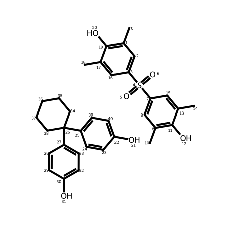 Cc1cc(S(=O)(=O)c2cc(C)c(O)c(C)c2)cc(C)c1O.Oc1ccc(C2(c3ccc(O)cc3)CCCCC2)cc1